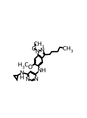 CCCCCc1nn(OC)c2cc(OC)c(Nc3cc(NC4CC4)ncn3)cc12